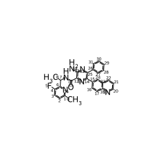 Cc1ccc(F)c(C(C)NC(=O)c2nc(-c3ccc4ncccc4c3)c(-c3ccccc3)nc2N)n1